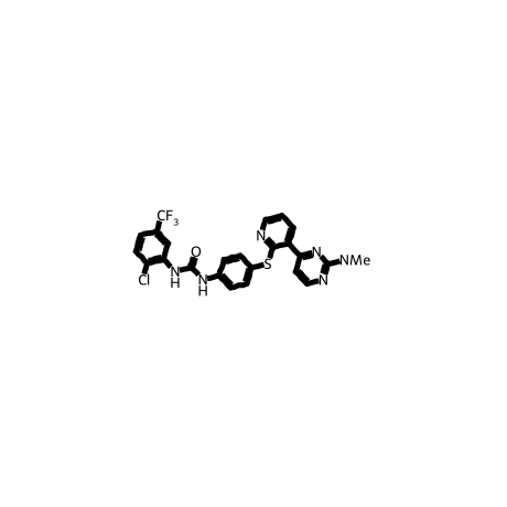 CNc1nccc(-c2cccnc2Sc2ccc(NC(=O)Nc3cc(C(F)(F)F)ccc3Cl)cc2)n1